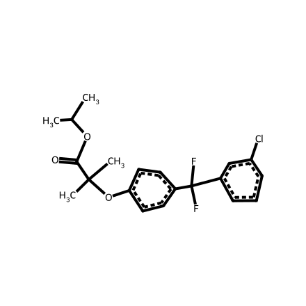 CC(C)OC(=O)C(C)(C)Oc1ccc(C(F)(F)c2cccc(Cl)c2)cc1